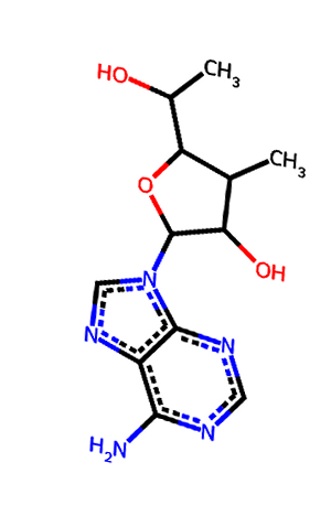 CC(O)C1OC(n2cnc3c(N)ncnc32)C(O)C1C